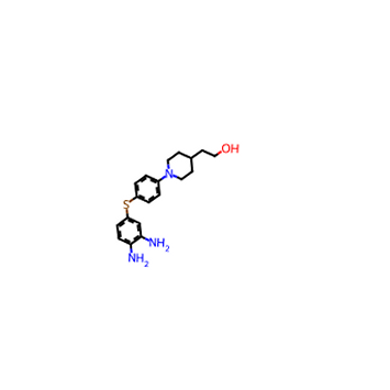 Nc1ccc(Sc2ccc(N3CCC(CCO)CC3)cc2)cc1N